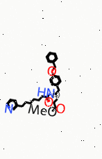 COC(=O)CC[C@@H](Cc1ccc(OCc2ccccc2)cc1)NC(=O)CCCCCCc1cccnc1